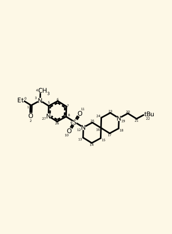 CCC(=O)N(C)c1ccc(S(=O)(=O)N2CCCC3(CCN(CCC(C)(C)C)CC3)C2)cn1